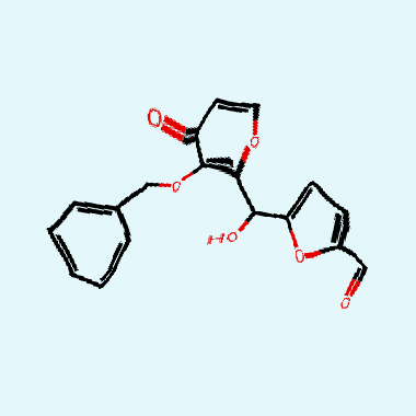 O=Cc1ccc(C(O)c2occc(=O)c2OCc2ccccc2)o1